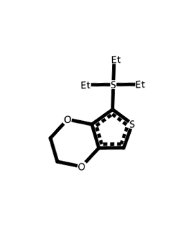 CCS(CC)(CC)c1scc2c1OCCO2